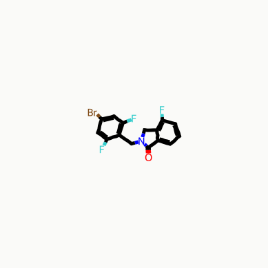 O=C1c2cccc(F)c2CN1Cc1c(F)cc(Br)cc1F